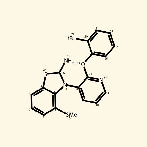 CSc1cccc2c1N(c1cccnc1Oc1ccccc1C(C)(C)C)C(N)S2